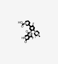 C[C@@H]1CN(c2cc(F)c(C3=CCCN(C(=O)O)C3)cc2NC(=O)c2c[nH]c(=O)cc2C(F)F)CCN1C